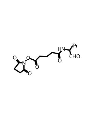 CC(C)C(C=O)NC(=O)CCCC(=O)ON1C(=O)CCC1=O